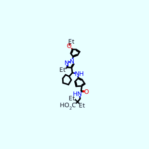 CCOc1cccc(-n2cc(C(Nc3ccc(C(=O)NCC(CC)(CC)C(=O)O)cc3)C3CCCCC3)c(CC)n2)c1